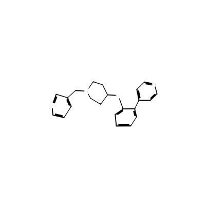 c1cncc(CN2CCC(Oc3ccccc3-c3ccncc3)CC2)c1